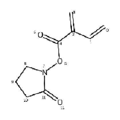 C=CC(=C)C(=O)ON1CCCC1=O